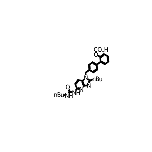 CCCCNC(=O)Nc1ccc2c(n1)nc(CCCC)n2Cc1ccc(-c2ccccc2OC(=O)O)cc1